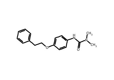 CN(C)C(=O)Nc1ccc(OCCc2ccccc2)cc1